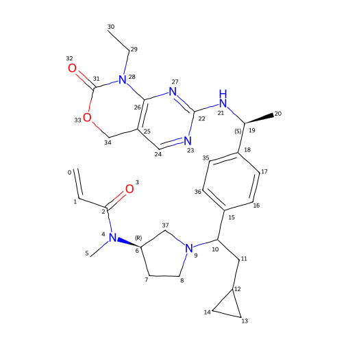 C=CC(=O)N(C)[C@@H]1CCN(C(CC2CC2)c2ccc([C@H](C)Nc3ncc4c(n3)N(CC)C(=O)OC4)cc2)C1